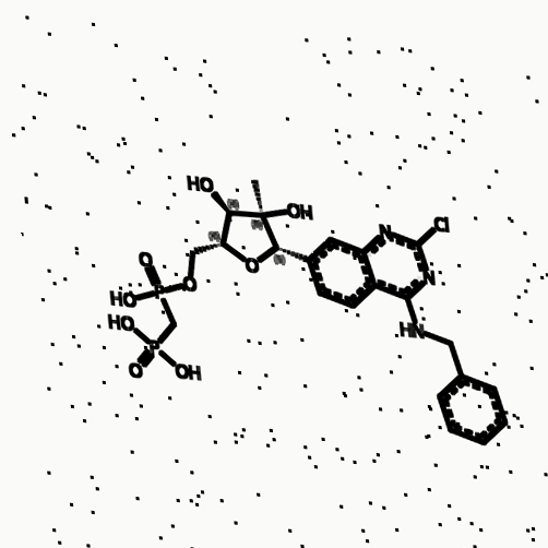 C[C@@]1(O)[C@H](O)[C@@H](COP(=O)(O)CP(=O)(O)O)O[C@H]1c1ccc2c(NCc3ccccc3)nc(Cl)nc2c1